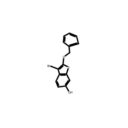 Oc1ccc2c(Br)c(OCc3ccccc3)sc2c1